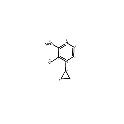 COc1nccc(C2CC2)c1Cl